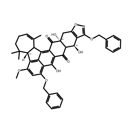 COc1cc(OCc2ccccc2)c2c(O)c3c(c4c2c1[C@H]1C4C(C)=CCCC1(C)C)C(=O)[C@@]1(O)Cc2onc(OCc4ccccc4)c2[C@@H](O)C1C3=O